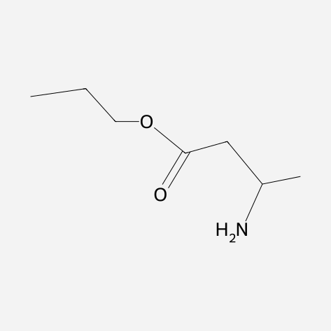 CCCOC(=O)CC(C)N